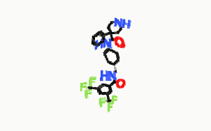 O=C(NC[C@H]1CC[C@@H](NC(=O)C2(c3ccccc3)CCNCC2)CC1)c1cc(C(F)(F)F)cc(C(F)(F)F)c1